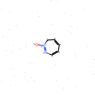 [O-][N+]1=NC=CC=CC1